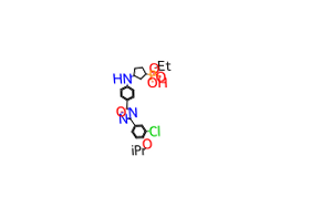 CCOP(=O)(O)[C@@H]1CC[C@H](Nc2ccc(-c3nc(-c4ccc(OC(C)C)c(Cl)c4)no3)cc2)C1